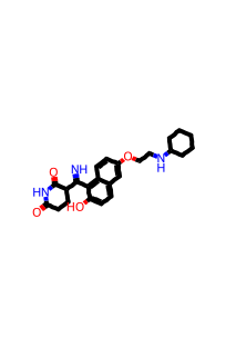 N=C(c1c(O)ccc2cc(OCCNC3CCCCC3)ccc12)C1CCC(=O)NC1=O